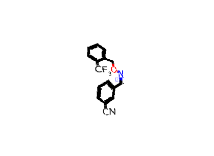 N#Cc1cccc(/[C]=N\OCc2ccccc2C(F)(F)F)c1